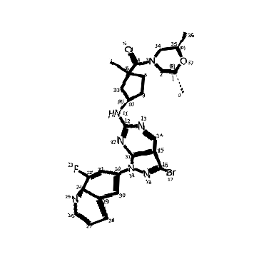 C[C@@H]1CN(C(=O)C2(C)CC[C@@H](Nc3ncc4c(Br)nn(-c5cc(F)c6ncccc6c5)c4n3)C2)C[C@@H](C)O1